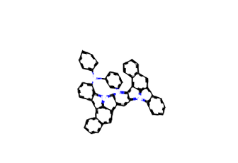 c1ccc(N(c2ccccc2)c2cccc3c4c5ccccc5cc5c6cc7c(nc6n(c23)c54)c2c3ccccc3cc3c4ccccc4n7c32)cc1